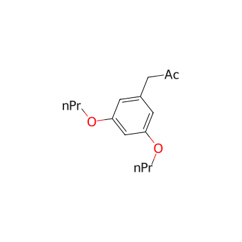 CCCOc1cc(CC(C)=O)cc(OCCC)c1